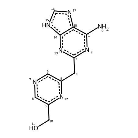 Nc1nc(Cc2cncc(CO)n2)nc2[nH]cnc12